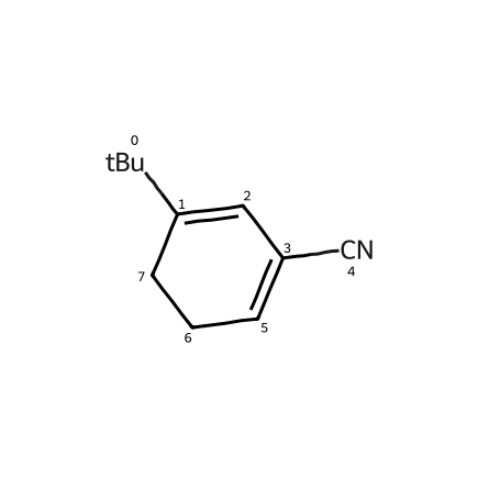 CC(C)(C)C1=CC(C#N)=CCC1